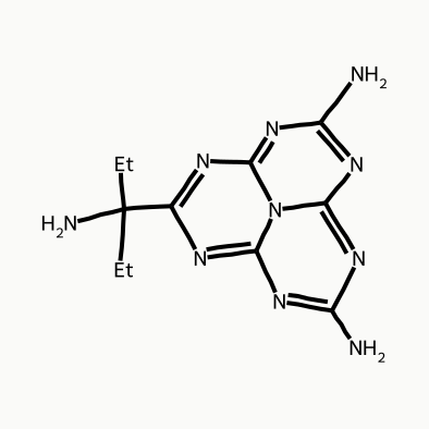 CCC(N)(CC)C1=NC2=NC(N)=NC3=NC(N)=NC(=N1)N32